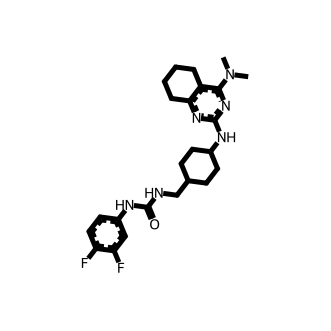 CN(C)c1nc(NC2CCC(CNC(=O)Nc3ccc(F)c(F)c3)CC2)nc2c1CCCC2